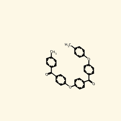 Cc1ccc(Oc2ccc(C(=O)c3ccc(Oc4ccc(C(=O)c5ccc(C)cc5)cc4)cc3)cc2)cc1